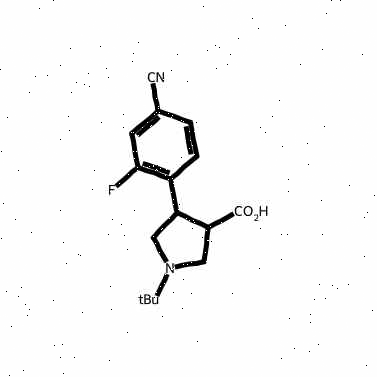 CC(C)(C)N1CC(C(=O)O)C(c2ccc(C#N)cc2F)C1